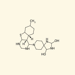 CC1CC[C@H]2C(C1)SC1NCNC(N3CCC4(CC3)NC(O)NC4O)[C@H]12